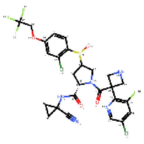 N#CC1(NC(=O)[C@@H]2CC([S+]([O-])c3ccc(OCC(F)(F)F)cc3Cl)CN2C(=O)C2(c3ncc(Cl)cc3F)CNC2)CC1